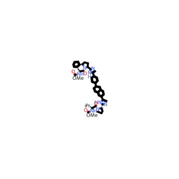 COC(=O)N[C@@H](C)C(=O)N1C(c2ncc(-c3ccc(-c4ccc5cc(-c6cnc([C@@H]7CCCN7C(=O)[C@@H](NC(=O)OC)C(C)C)[nH]6)ccc5c4)cc3)[nH]2)CC[C@@H]1c1ccccc1